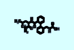 CC(C)CC(NC(=O)c1ccccc1-c1ccccc1CNC(=O)O)C(N)=O